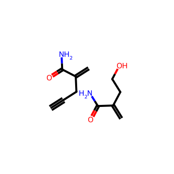 C#CCC(=C)C(N)=O.C=C(CCO)C(N)=O